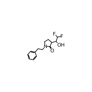 O=C1C(C(O)C(F)F)CCN1CCc1ccccc1